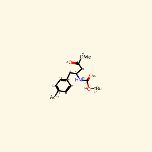 COC(=O)CC(Cc1ccc(C(C)=O)cc1)NC(=O)OC(C)(C)C